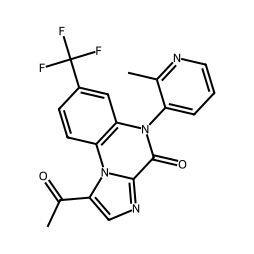 CC(=O)c1cnc2c(=O)n(-c3cccnc3C)c3cc(C(F)(F)F)ccc3n12